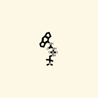 CN(C)C(C)(C)CNS(=O)(=O)NC(=O)Nc1c2c(cc3c1CCC3)CCC2